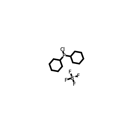 ClP(C1CCCCC1)C1CCCCC1.F[B-](F)(F)F